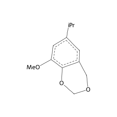 COc1cc(C(C)C)cc2c1OCOC2